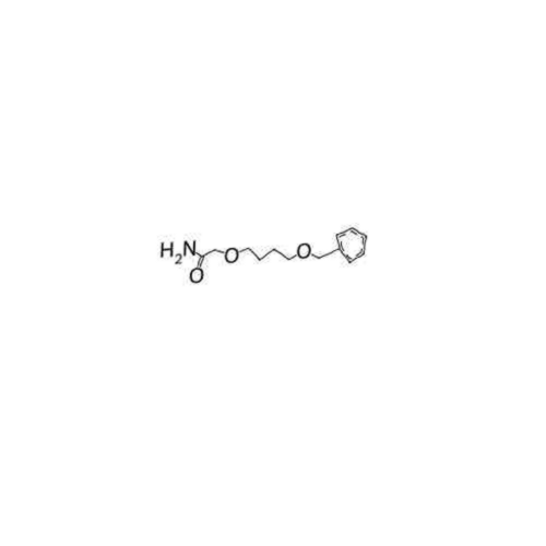 NC(=O)COCCCCOCc1ccccc1